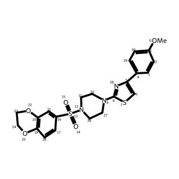 COc1ccc(-c2csc(N3CCN(S(=O)(=O)c4ccc5c(c4)OCCO5)CC3)n2)cc1